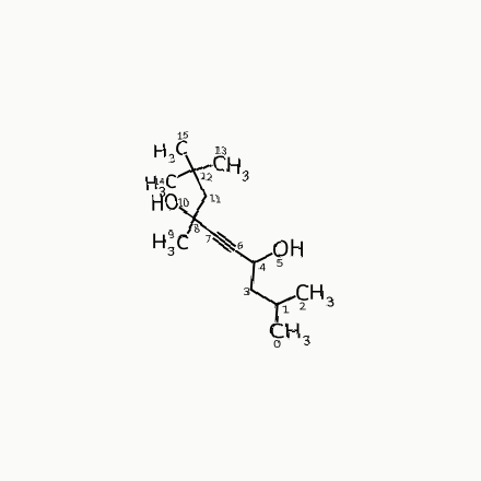 CC(C)CC(O)C#CC(C)(O)CC(C)(C)C